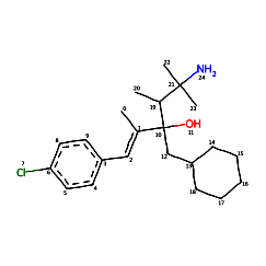 CC(=Cc1ccc(Cl)cc1)C(O)(CC1CCCCC1)C(C)C(C)(C)N